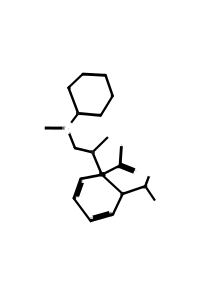 CC(C)C1C=CC=CC1(C(=O)O)C(C)CN(C)C1CCCCC1